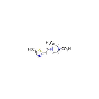 Cc1cnc(CCN2CCN(C(=O)O)C[C@@H]2C)s1